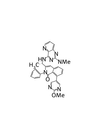 CNc1nc(N[C@@H](C)c2cc3cccc(-c4cnc(OC)nc4)c3c(=O)n2-c2ccccc2)c2ncccc2n1